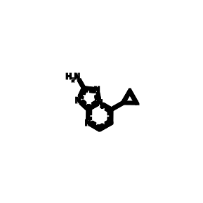 Nc1nc2nccc(C3CC3)n2n1